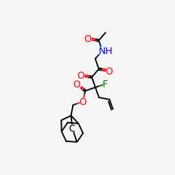 C=CCC(F)(C(=O)OCC12CC3CC(CC1C3)C2)C(=O)C(=O)CNC(C)=O